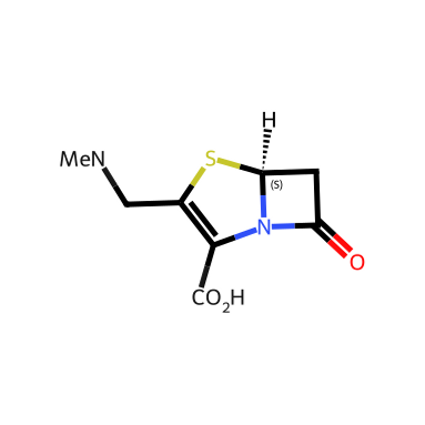 CNCC1=C(C(=O)O)N2C(=O)C[C@@H]2S1